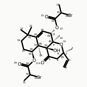 C=C[C@@]1(C)CC(=O)[C@@]2(O)[C@](C)(O1)[C@@H](OC(=O)C(C)Br)C=C1C(C)(C)CC[C@H](OC(=O)C(C)Br)[C@@]12C